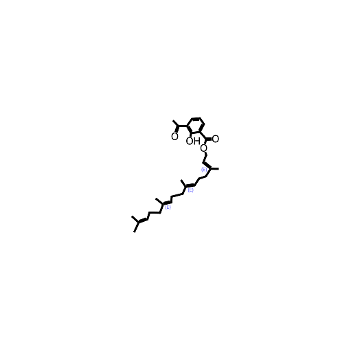 CC(=O)c1cccc(C(=O)OC/C=C(\C)CC/C=C(\C)CC/C=C(\C)CCC=C(C)C)c1O